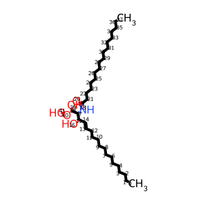 CCCCCCCCCCCCCC=CC(O)C(NC(=O)CCCCCCCCCCCCCCCCC)C(O)OO